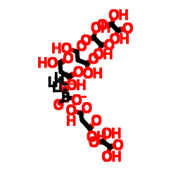 O=C(O)C(=O)O.O=C(O)C(=O)O.O=C(O)C(=O)O.O=C(O)CC(=O)O.O=C(O)CC(=O)O.O=C(O)CC(=O)O.[Li+].[Li+].[Li+].[O-]B([O-])[O-]